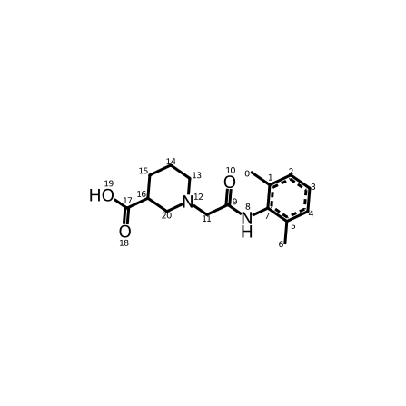 Cc1cccc(C)c1NC(=O)CN1CCCC(C(=O)O)C1